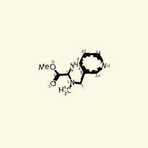 COC(=O)C(N)N(C)Cc1cccnc1